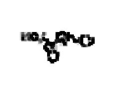 CCOC(=O)c1cc2ccccn2c1-c1ccn(CCN2CCOCC2)n1